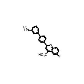 CCNc1cccc(-c2ccc(-c3cc(C(=O)O)c4cc(F)ccc4n3)cc2)c1